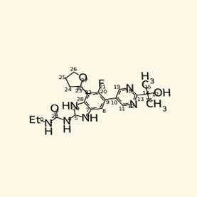 CCNC(=O)NC1Nc2cc(-c3cnc(C(C)(C)O)nc3)c(F)c([C@H]3CCCO3)c2N1